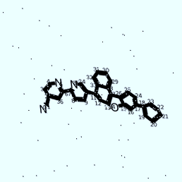 N#Cc1ccnc(-c2ccc(-c3cc4oc5cc(-c6ccccc6)ccc5c4c4ccccc34)cn2)c1